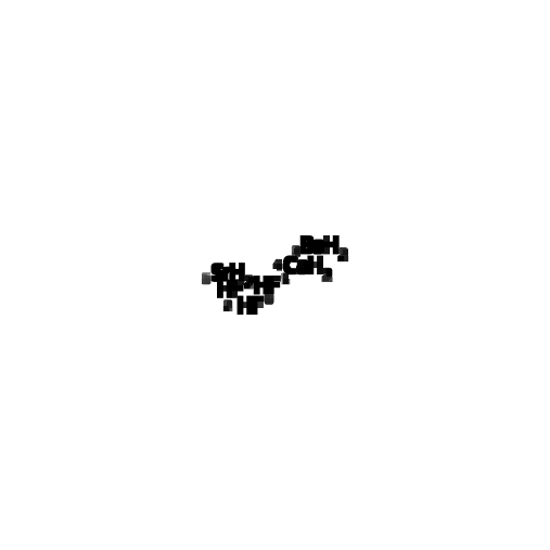 F.F.F.[BaH2].[CaH2].[SrH2]